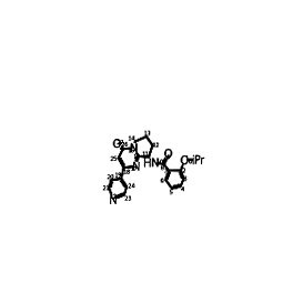 CC(C)Oc1ccccc1C(=O)NC1CCCn2c1nc(-c1ccncc1)cc2=O